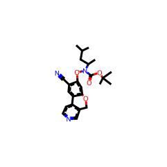 CC(C)CC(C)N(Oc1cc2c(cc1C#N)-c1ccncc1CO2)C(=O)OC(C)(C)C